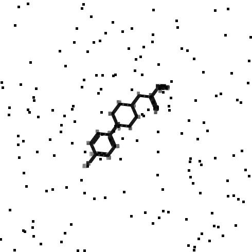 CNC(=O)CC1CCN(c2ccc(F)cc2)CC1